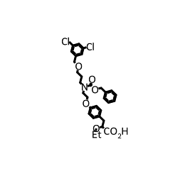 CCOC(Cc1ccc(OCCN(CCCOCc2cc(Cl)cc(Cl)c2)C(=O)OCc2ccccc2)cc1)C(=O)O